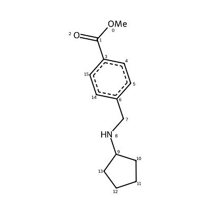 COC(=O)c1ccc(CNC2CCCC2)cc1